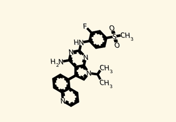 CC(C)n1cc(-c2cccc3ncccc23)c2c(N)nc(Nc3ccc(S(C)(=O)=O)cc3F)nc21